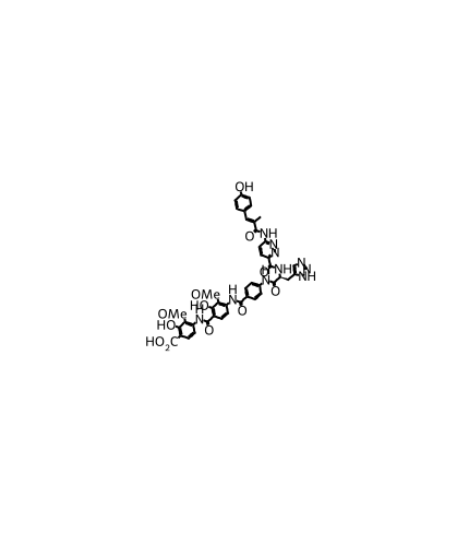 COc1c(NC(=O)c2ccc(NC(=O)c3ccc(NC(=O)[C@H](Cc4cnn[nH]4)NC(=O)c4ccc(NC(=O)/C(C)=C/c5ccc(O)cc5)nn4)cc3)c(OC)c2O)ccc(C(=O)O)c1O